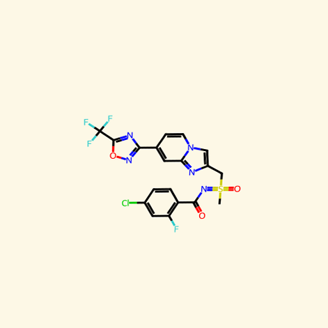 CS(=O)(Cc1cn2ccc(-c3noc(C(F)(F)F)n3)cc2n1)=NC(=O)c1ccc(Cl)cc1F